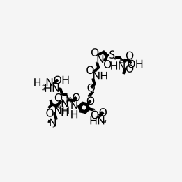 CNC(=O)OCc1ccc(NC(=O)[C@H](CCCNC(N)O)NC(=O)[C@@H](NC(=O)CN(C)C)C(C)C)cc1OCCOCCNC(=O)CCN1C(=O)C=C(SCC[C@H](NC(C)=O)C(=O)O)C1=O